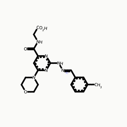 Cc1cccc(/C=N/Nc2nc(C(=O)NCC(=O)O)cc(N3CCOCC3)n2)c1